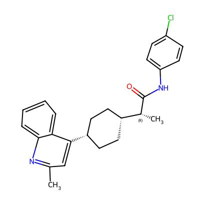 Cc1cc([C@H]2CC[C@@H]([C@@H](C)C(=O)Nc3ccc(Cl)cc3)CC2)c2ccccc2n1